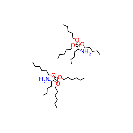 CCCCCCO[Si](OCCCCCC)(OCCCCCC)C(N)CCCC.CCCCCO[Si](OCCCCC)(OCCCCC)C(N)CCCC